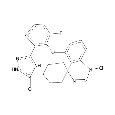 O=c1[nH]nc(-c2cccc(F)c2Oc2cccc3c2C2(CCCCC2)N=CN3Cl)[nH]1